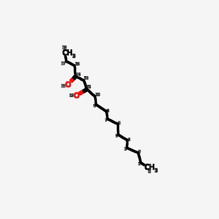 CCCCCCCCCCCC(=O)CC(=O)CCC